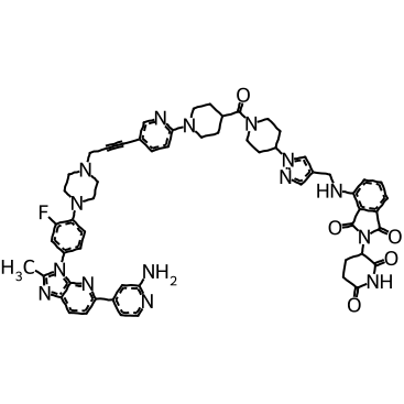 Cc1nc2ccc(-c3ccnc(N)c3)nc2n1-c1ccc(N2CCN(CC#Cc3ccc(N4CCC(C(=O)N5CCC(n6cc(CNc7cccc8c7C(=O)N(C7CCC(=O)NC7=O)C8=O)cn6)CC5)CC4)nc3)CC2)c(F)c1